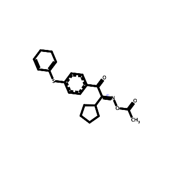 CC(=O)O/N=C(/C(=O)c1ccc(SC2=CCCC=C2)cc1)C1CCCC1